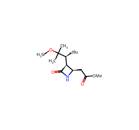 COC(=O)C[C@H]1NC(=O)[C@H]1[C@H](C(C)(C)C)C(C)(C)O[SiH3]